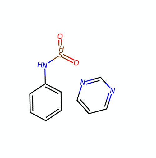 O=[SH](=O)Nc1ccccc1.c1cncnc1